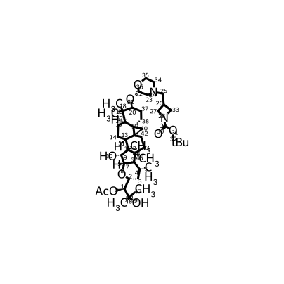 CC(=O)O[C@@H]([C@H]1C[C@@H](C)C2[C@H](O1)[C@H](O)[C@@]1(C)[C@@H]3CC[C@H]4C(C)(C)[C@@H](O[C@H]5CN(CC6CN(C(=O)OC(C)(C)C)C6)CCO5)CC[C@@]45C[C@@]35CC[C@]21C)C(C)(C)O